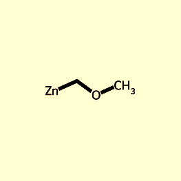 CO[CH2][Zn]